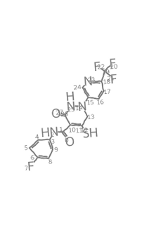 O=C(Nc1ccc(F)cc1)C1=C(S)CN(c2ccc(C(F)(F)F)nc2)NC1=O